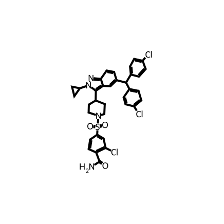 NC(=O)c1ccc(S(=O)(=O)N2CCC(c3c4cc(C(c5ccc(Cl)cc5)c5ccc(Cl)cc5)ccc4nn3C3CC3)CC2)cc1Cl